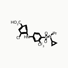 CC(C)N(C1CC1)S(=O)(=O)c1ccc(Nc2ccc(C(=O)O)cc2Cl)cc1C(F)(F)F